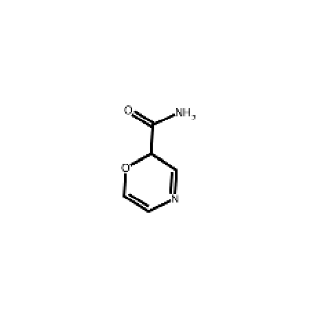 NC(=O)C1C=NC=CO1